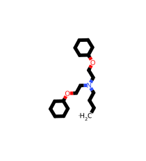 [CH2]CCCN(CCOC1CCCCC1)CCOC1CCCCC1